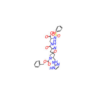 O=C(NCC(NS(=O)(=O)c1ccccc1)C(=O)O)C1=NO[C@]2(C1)CC(CNc1ncc[nH]1)N(C(=O)OCc1ccccc1)C2